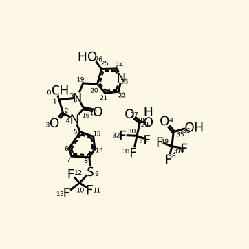 C[C@@H]1C(=O)N(c2ccc(SC(F)(F)F)cc2)C(=O)N1Cc1ccncc1O.O=C(O)C(F)(F)F.O=C(O)C(F)(F)F